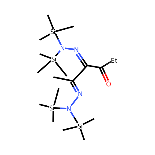 CCC(=O)C(=NN([Si](C)(C)C)[Si](C)(C)C)C(C)=NN([Si](C)(C)C)[Si](C)(C)C